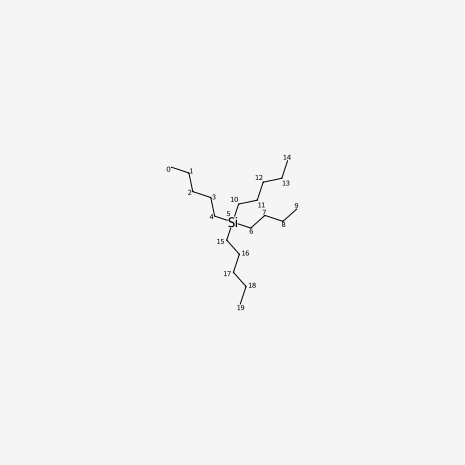 CCCCC[Si](CCCC)(CCCCC)CCCCC